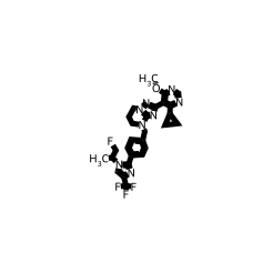 COc1ncnc(C2CC2)c1-c1nc2n(n1)CCCN2Cc1ccc(-c2nc(C(F)(F)F)cn2C(C)CF)cc1